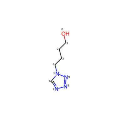 OCCCCn1[c]nnn1